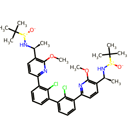 COc1nc(-c2cccc(-c3cccc(-c4ccc([C@H](C)N[S@+]([O-])C(C)(C)C)c(OC)n4)c3Cl)c2Cl)ccc1[C@H](C)N[S@+]([O-])C(C)(C)C